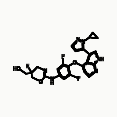 OCC1(F)CN=C(Nc2cc(F)c(Oc3ccnc4[nH]cc(-c5ccnn5C5CC5)c34)c(F)c2)OC1